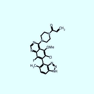 C=CC(=O)N1CCN(c2ncnc3c(F)c(-c4c(C)ccc5[nH]nnc45)c(Cl)c(OC)c23)CC1